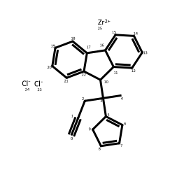 C#CCC(C)(C1=CC=CC1)C1c2ccccc2-c2ccccc21.[Cl-].[Cl-].[Zr+2]